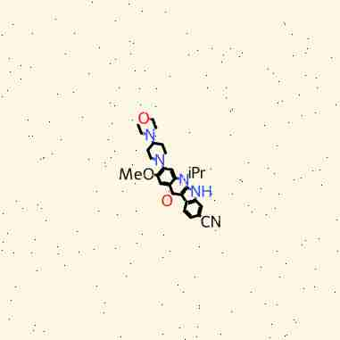 COc1cc2c(=O)c3c4ccc(C#N)cc4[nH]c3n(C(C)C)c2cc1N1CCC(N2CCOCC2)CC1